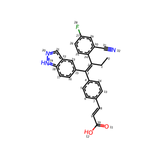 CCC(=C(c1ccc(C=CC(=O)O)cc1)c1ccc2[nH]ncc2c1)c1ccc(F)cc1C#N